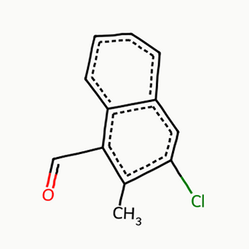 Cc1c(Cl)cc2ccccc2c1C=O